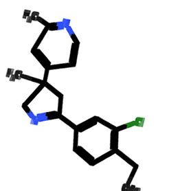 CC(=O)OCc1ccc(C2=NCC(c3ccnc(C(F)(F)F)c3)(C(F)(F)F)C2)cc1Cl